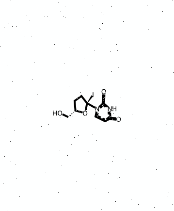 O=c1ccn([C@@]2(I)CC[C@@H](CO)O2)c(=O)[nH]1